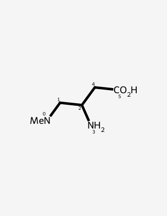 CNCC(N)CC(=O)O